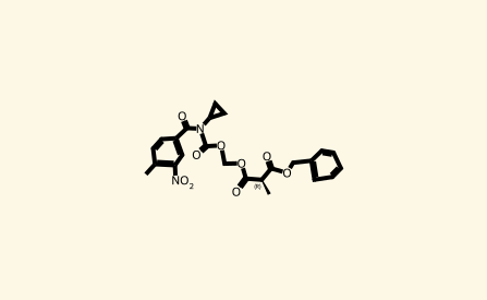 Cc1ccc(C(=O)N(C(=O)OCOC(=O)[C@H](C)C(=O)OCc2ccccc2)C2CC2)cc1[N+](=O)[O-]